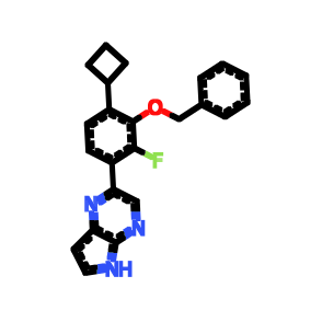 Fc1c(-c2cnc3[nH]ccc3n2)ccc(C2CCC2)c1OCc1ccccc1